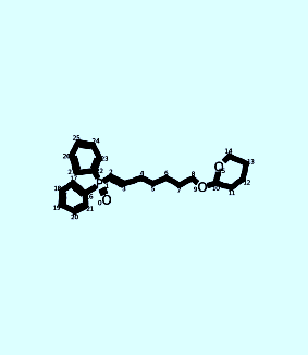 O=P(C=CCCCCCOC1CCCCO1)(c1ccccc1)c1ccccc1